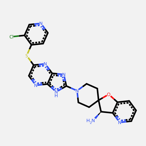 N[C@@H]1c2ncccc2OC12CCN(c1nc3nc(Sc4ccncc4Cl)cnc3[nH]1)CC2